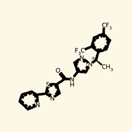 C[C@H](c1ccc(C(F)(F)F)cc1C(F)(F)F)n1cc(NC(=O)c2cnc(-c3ccccn3)s2)cn1